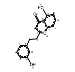 O=c1cc(CCc2cccc(O)c2)oc2cccc(O)c12